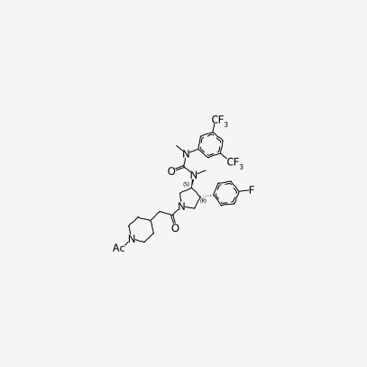 CC(=O)N1CCC(CC(=O)N2C[C@@H](N(C)C(=O)N(C)c3cc(C(F)(F)F)cc(C(F)(F)F)c3)[C@H](c3ccc(F)cc3)C2)CC1